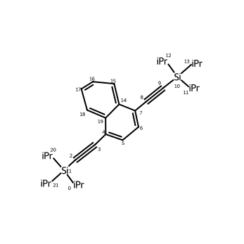 CC(C)[Si](C#Cc1ccc(C#C[Si](C(C)C)(C(C)C)C(C)C)c2ccccc12)(C(C)C)C(C)C